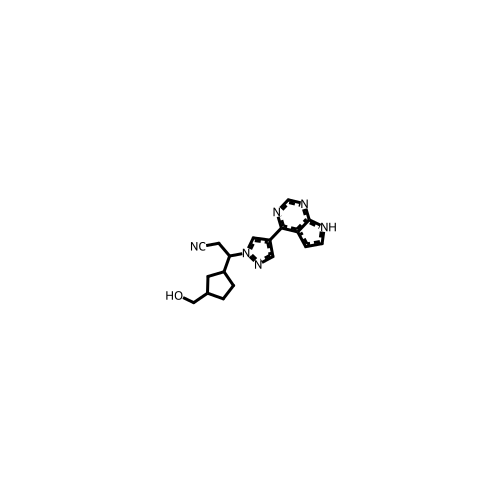 N#CCC(C1CCC(CO)C1)n1cc(-c2ncnc3[nH]ccc23)cn1